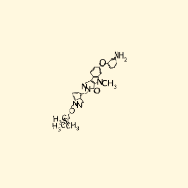 Cn1c2cc(Oc3cccc(N)c3)ccc2c2cnn(Cc3cccc4c3cnn4COCC[Si](C)(C)C)c(=O)c21